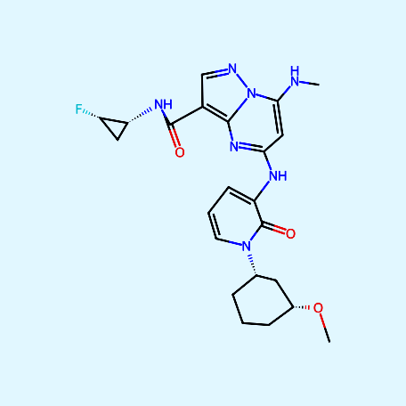 CNc1cc(Nc2cccn([C@H]3CCC[C@@H](OC)C3)c2=O)nc2c(C(=O)N[C@@H]3C[C@@H]3F)cnn12